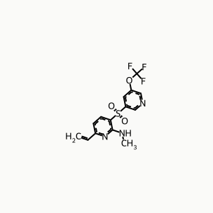 C=Cc1ccc(S(=O)(=O)c2cncc(OC(F)(F)F)c2)c(NC)n1